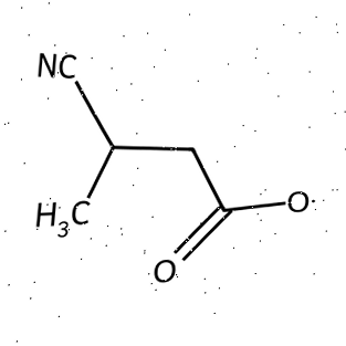 CC(C#N)CC([O])=O